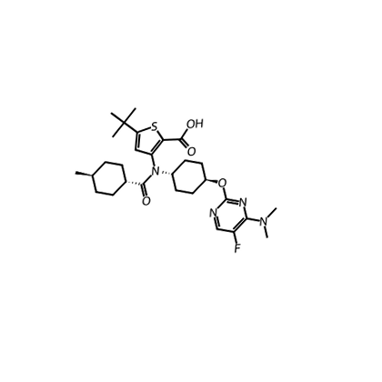 CN(C)c1nc(O[C@H]2CC[C@H](N(c3cc(C(C)(C)C)sc3C(=O)O)C(=O)[C@H]3CC[C@H](C)CC3)CC2)ncc1F